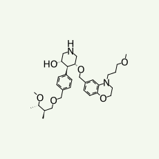 COCCCN1CCOc2ccc(CO[C@H]3CNC[C@@H](O)[C@@H]3c3ccc(COC[C@@H](C)[C@H](C)OC)cc3)cc21